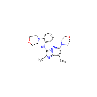 Cc1nc2c(C)cc(N3CCOCC3)nn2c1Nc1ccccc1N1CCOCC1